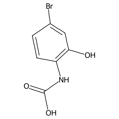 O=C(O)Nc1ccc(Br)cc1O